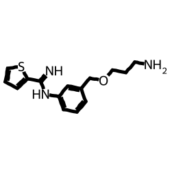 N=C(Nc1cccc(COCCCN)c1)c1cccs1